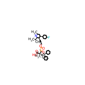 Cc1cc(-c2ccc(F)cc2)c(C#CCO[PH](=O)C[C@H](CC(=O)O)O[Si](c2ccccc2)(c2ccccc2)C(C)(C)C)c(C(C)C)n1